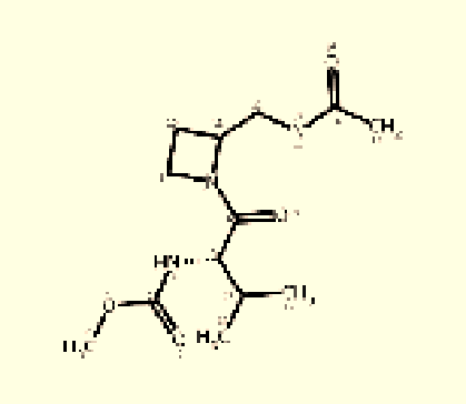 COC(=O)N[C@H](C(=O)N1CCC1CNC(C)=O)C(C)C